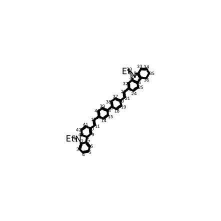 CCN1c2ccccc2C2C=C(/C=C/c3ccc(-c4ccc(/C=C/c5ccc6c7c(n(CC)c6c5)C=CCC7)cc4)cc3)C=CC21